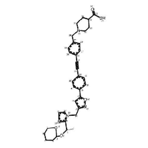 C[C@H](OC1CCCCO1)c1nccn1Cc1cc(-c2ccc(C#Cc3ccc(CN4CCC(C(=O)O)CC4)cc3)cc2)on1